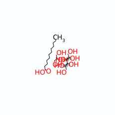 CCCCCCCCCCCC(=O)O.OCC(O)CO.OC[C@@H](O)[C@@H](O)[C@H](O)[C@H](O)CO